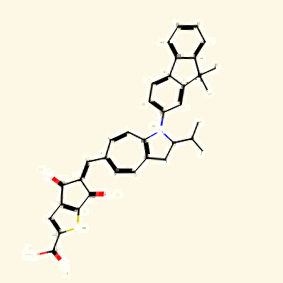 CC(C)C1CC2=C(C=CC(/C=C3/C(=O)c4cc(C(=O)O)sc4C3=O)=C=C2)N1c1ccc2c(c1)C(C)(C)c1ccccc1-2